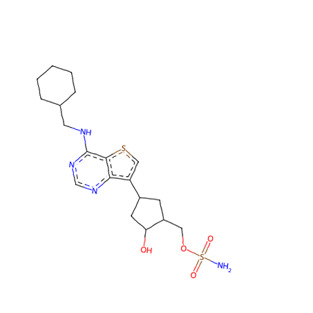 NS(=O)(=O)OCC1CC(c2csc3c(NCC4CCCCC4)ncnc23)CC1O